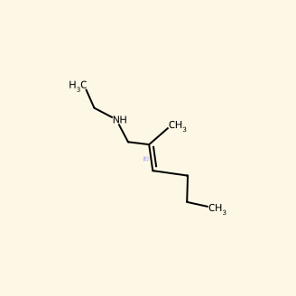 CCC/C=C(\C)CNCC